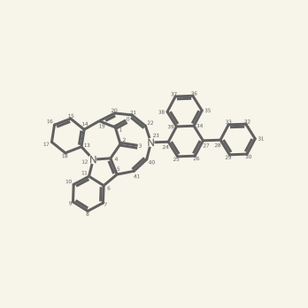 C=C1C(=C)c2c3c4ccccc4n2C2=C(C=CCC2)/C1=C/C=C\N(c1ccc(-c2ccccc2)c2ccccc12)/C=C\3